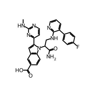 CNc1nccc(-c2cc3cc(C(=O)O)ccc3n2C(CNc2ncccc2-c2ccc(F)cc2)C(N)=O)n1